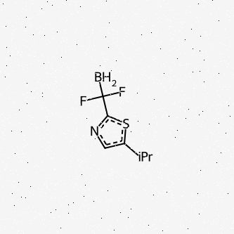 BC(F)(F)c1ncc(C(C)C)s1